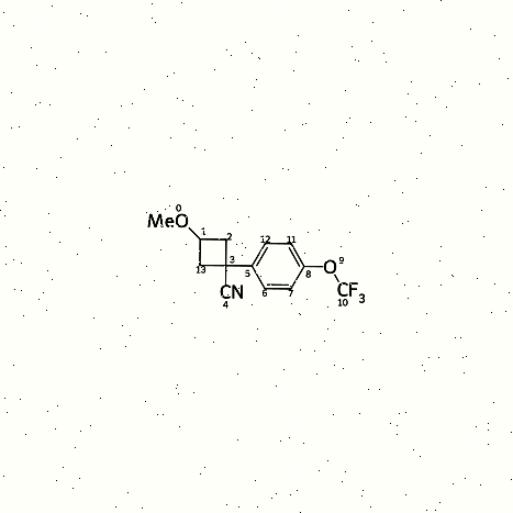 COC1CC(C#N)(c2ccc(OC(F)(F)F)cc2)C1